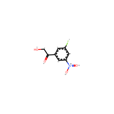 O=C(CO)c1cc(F)cc([N+](=O)[O-])c1